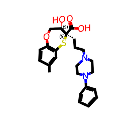 Cc1ccc2c(c1)S[C@](CCCN1CCN(c3ccccc3)CC1)(C(=O)O)[C@@H](O)CO2